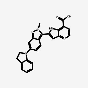 Cn1nc2cc(N3CCc4ccccc43)ccc2c1-c1cc2nccc(C(=O)O)c2[nH]1